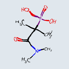 CN(C)C(=O)C(C)(C)P(=O)(O)O